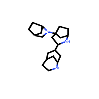 C1CC2CC(CC(C3CC4(N5CC6CCC5C6)CCC(C4)N3)C2)N1